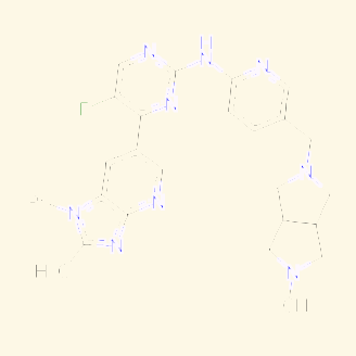 Cc1nc2ncc(-c3nc(Nc4ccc(CN5CC6CN(C)CC6C5)cn4)ncc3F)cc2n1C(C)C